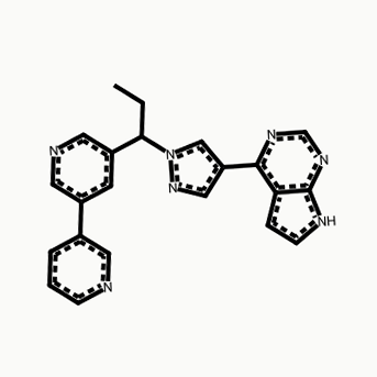 CCC(c1cncc(-c2cccnc2)c1)n1cc(-c2ncnc3[nH]ccc23)cn1